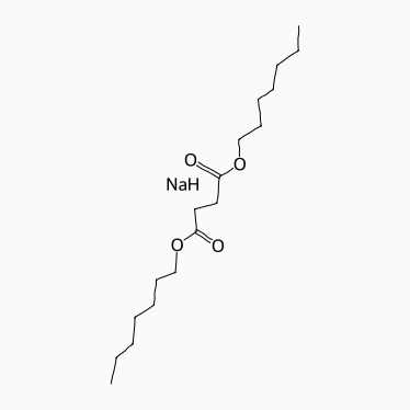 CCCCCCCOC(=O)CCC(=O)OCCCCCCC.[NaH]